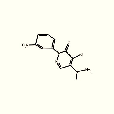 CN(N)c1cnn(-c2cccc([N+](=O)[O-])c2)c(=O)c1Cl